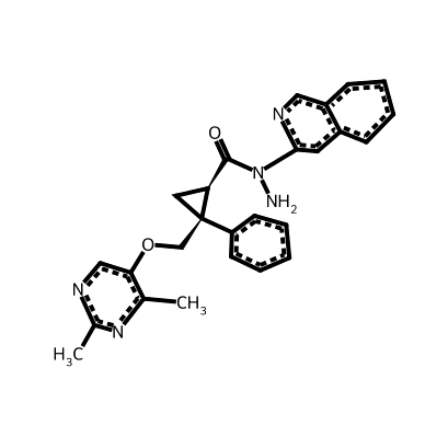 Cc1ncc(OC[C@@]2(c3ccccc3)C[C@H]2C(=O)N(N)c2cc3ccccc3cn2)c(C)n1